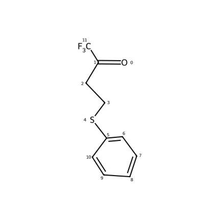 O=C(CCSc1ccccc1)C(F)(F)F